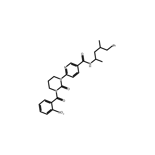 CC(C)CC(C)CC(C)NC(=O)c1ccc(N2CCCN(C(=O)c3ccccc3[N+](=O)[O-])C2=O)nc1